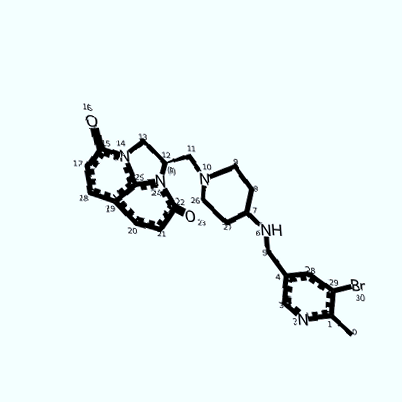 Cc1ncc(CNC2CCN(C[C@@H]3Cn4c(=O)ccc5ccc(=O)n3c54)CC2)cc1Br